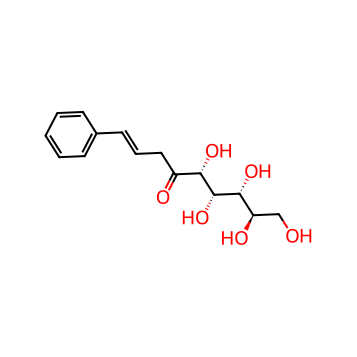 O=C(CC=Cc1ccccc1)[C@H](O)[C@@H](O)[C@H](O)[C@H](O)CO